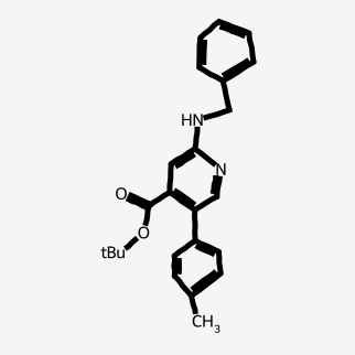 Cc1ccc(-c2cnc(NCc3ccccc3)cc2C(=O)OC(C)(C)C)cc1